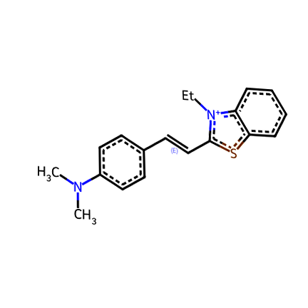 CC[n+]1c(/C=C/c2ccc(N(C)C)cc2)sc2ccccc21